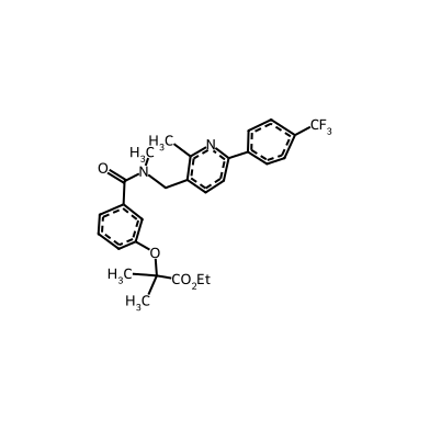 CCOC(=O)C(C)(C)Oc1cccc(C(=O)N(C)Cc2ccc(-c3ccc(C(F)(F)F)cc3)nc2C)c1